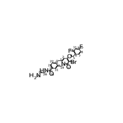 Cc1cc(OCc2ccc(F)cc2F)c(Br)c(=O)n1Cc1cccc(C(=O)NCCN)c1